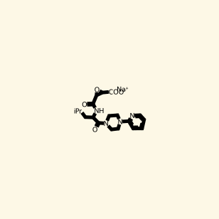 CC(C)CC(NC(=O)C1OC1C(=O)[O-])C(=O)N1CCN(c2ccccn2)CC1.[Na+]